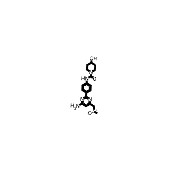 C[S+]([O-])Cc1cc(N)nc(-c2ccc(NC(=O)N3CCC(O)CC3)cc2)n1